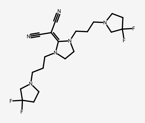 N#CC(C#N)=C1N(CCCN2CCC(F)(F)C2)CCN1CCCN1CCC(F)(F)C1